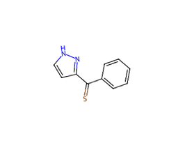 S=C(c1ccccc1)c1cc[nH]n1